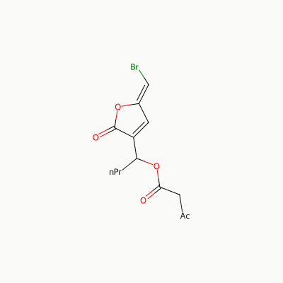 CCCC(OC(=O)CC(C)=O)C1=C/C(=C/Br)OC1=O